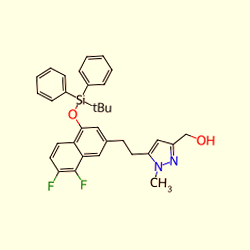 Cn1nc(CO)cc1CCc1cc(O[Si](c2ccccc2)(c2ccccc2)C(C)(C)C)c2ccc(F)c(F)c2c1